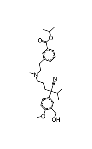 COc1ccc(C(C#N)(CCCN(C)CCc2cccc(C(=O)OC(C)C)c2)C(C)C)cc1CO